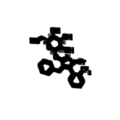 CC(C)n1nc(O[C@@H]2O[C@H](CO)[C@@H](O)[C@H](O)[C@H]2O)c(Cc2ccccc2)c1-c1ccccc1C(F)(F)F